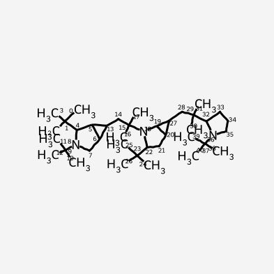 CC(C)(C)C1C2C(CN1C(C)(C)C)C2CC(C)(C)N1C2C(CC1C(C)(C)C)C2CC(C)(C)C1CCCN1C(C)(C)C